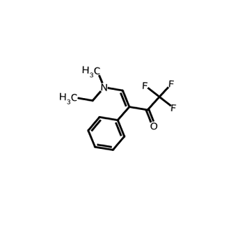 CCN(C)/C=C(/C(=O)C(F)(F)F)c1ccccc1